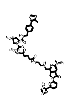 CCn1cnnc1-c1cccc(N2Cc3c(cc(N(C)C(C)C)nc3CNCCNC(=O)CCCC(=O)N[C@H](C(=O)N3C[C@H](O)C[C@H]3C(=O)NCc3ccc(-c4scnc4C)cc3)C(C)(C)C)C2=O)n1